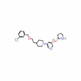 Clc1cccc(COCCC2CCN(c3cncc(OC[C@@H]4CCCN4)c3)CC2)c1